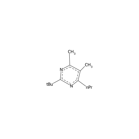 CCCc1nc(C(C)(C)C)nc(C)c1C